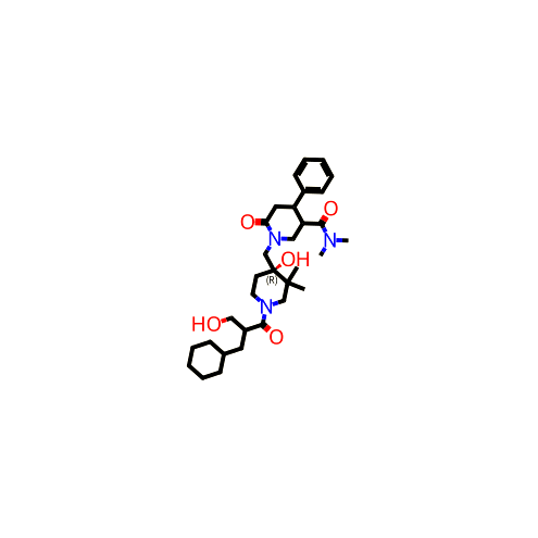 CN(C)C(=O)C1CN(C[C@@]2(O)CCN(C(=O)C(CO)CC3CCCCC3)CC2(C)C)C(=O)CC1c1ccccc1